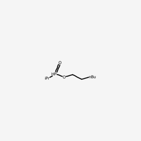 CCCCCCO[PH](=O)C(C)C